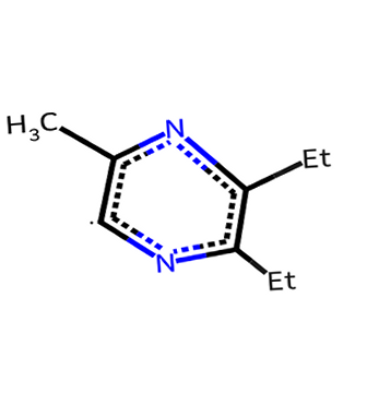 CCc1n[c]c(C)nc1CC